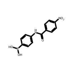 O=C(Nc1ccc(B(O)O)cc1)c1ccc([N+](=O)[O-])cc1